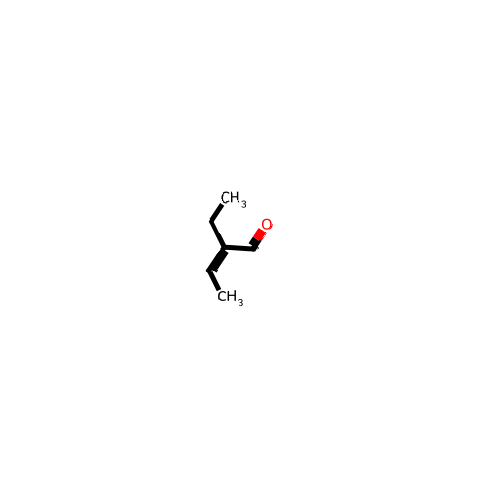 CC=C([C]=O)CC